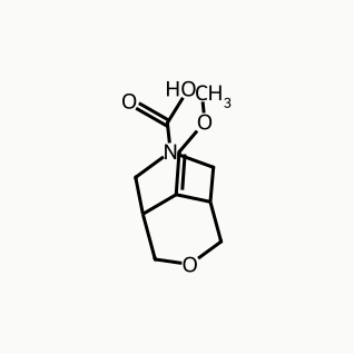 COC=C1C2COCC1CN(C(=O)O)C2